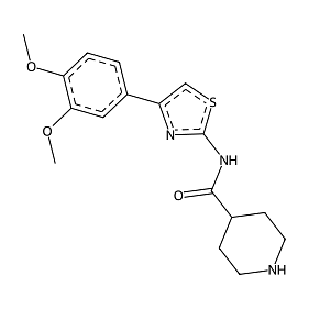 COc1ccc(-c2csc(NC(=O)C3CCNCC3)n2)cc1OC